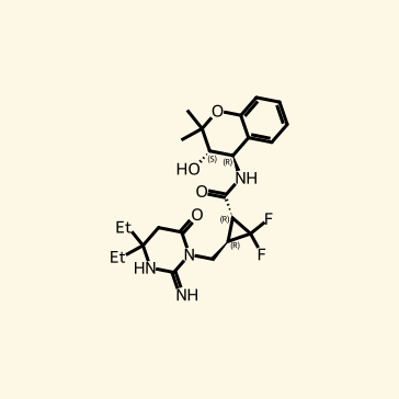 CCC1(CC)CC(=O)N(C[C@H]2[C@H](C(=O)N[C@@H]3c4ccccc4OC(C)(C)[C@H]3O)C2(F)F)C(=N)N1